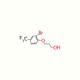 OCCCOc1ccc(C(F)(F)F)cc1Br